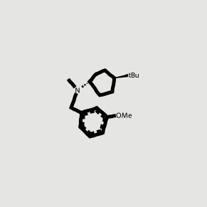 COc1cccc(CN(C)[C@H]2CC[C@H](C(C)(C)C)CC2)c1